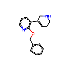 C1=C(c2cccnc2OCc2ccccc2)CNCC1